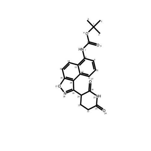 CC(C)(C)OC(=O)Nc1cccc2c1ccc1onc(C3CCC(=O)NC3=O)c12